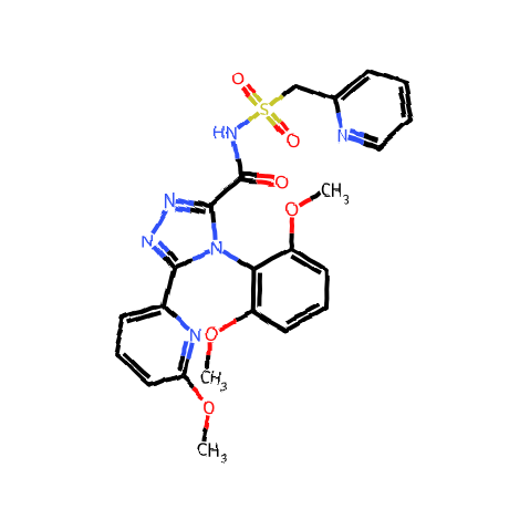 COc1cccc(-c2nnc(C(=O)NS(=O)(=O)Cc3ccccn3)n2-c2c(OC)cccc2OC)n1